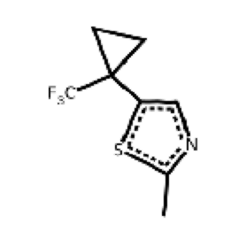 Cc1ncc(C2(C(F)(F)F)CC2)s1